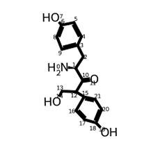 N[C@@H](Cc1ccc(O)cc1)C(=O)C(CO)c1ccc(O)cc1